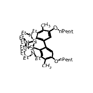 CCCCCOc1cc2c(cc1C)[Si](N(CC)CC)(N(CC)CC)[Si](N(CC)CC)(N(CC)CC)c1cc(C)c(OCCCCC)cc1-2